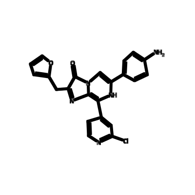 Nc1ccc(-c2cn3c(=O)c(Cc4ccco4)nc-3c(-c3ccnc(Cl)c3)[nH]2)cc1